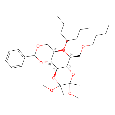 CCCCOC[C@H](OCCCC)[C@@H]1OC(C)(OC)C(C)(OC)O[C@H]1[C@@H]1OC(c2ccccc2)OC[C@H]1OCCCC